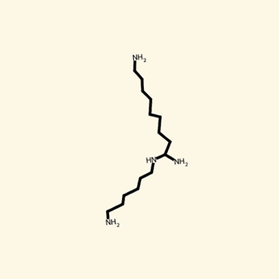 NCCCCCCCCC(N)NCCCCCCN